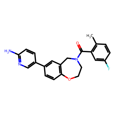 Cc1ccc(F)cc1C(=O)N1CCOc2ccc(-c3ccc(N)nc3)cc2C1